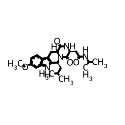 COc1ccc2c3c([nH]c2c1)[C@H](CC(C)C)N1C(=O)[C@H](CC(=O)NC(C)C)NC(=O)[C@@H]1C3